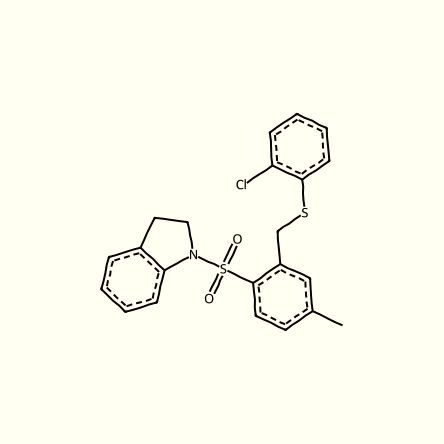 Cc1ccc(S(=O)(=O)N2CCc3ccccc32)c(CSc2ccccc2Cl)c1